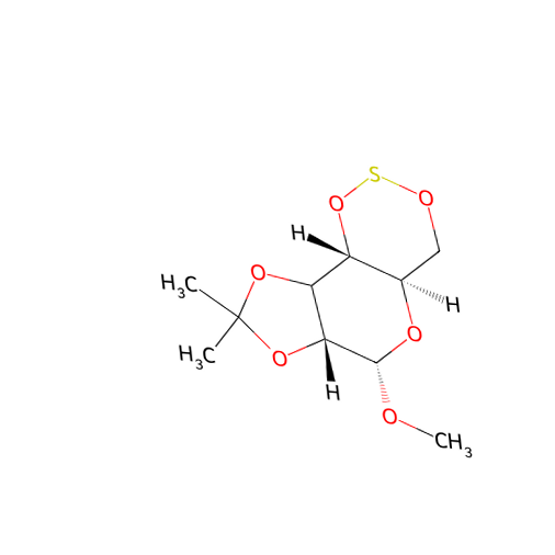 CO[C@H]1O[C@@H]2COSO[C@H]2C2OC(C)(C)O[C@H]21